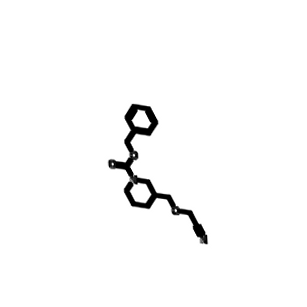 N#CCOCC1CCCN(C(=O)OCc2ccccc2)C1